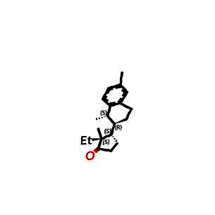 CC[C@]1(C)C(=O)CC[C@H]1[C@@H]1CCc2cc(C)ccc2[C@H]1C